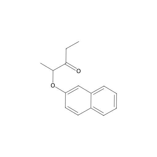 CCC(=O)C(C)Oc1ccc2ccccc2c1